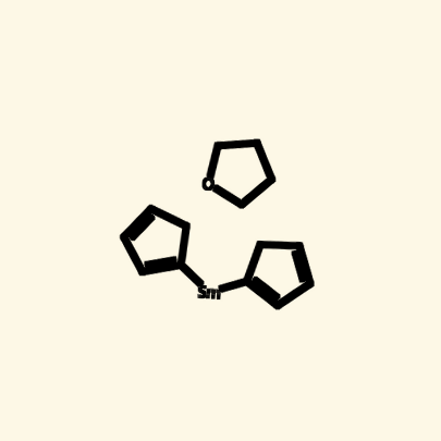 C1=CC[C]([Sm][C]2=CC=CC2)=C1.C1CCOC1